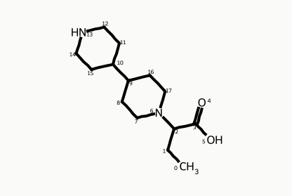 CCC(C(=O)O)N1CCC(C2CCNCC2)CC1